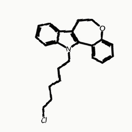 ClCCCCCCn1c2c(c3ccccc31)CCOc1ccccc1-2